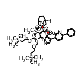 CC(C)(C)OC(=O)N1C2CC[C@@H]1CC(c1nc3c(-c4ccc(-c5ccccc5)nc4)cnn3c(N(COCC[Si](C)(C)C)COCC[Si](C)(C)C)c1S(C)(=O)=O)C2